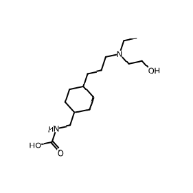 CCN(CCO)CCCC1CCC(CNC(=O)O)CC1